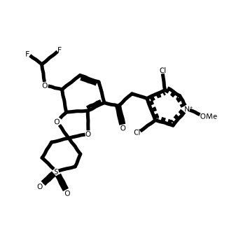 CO[n+]1cc(Cl)c(CC(=O)C2=C3OC4(CCS(=O)(=O)CC4)OC3C(OC(F)F)C=C2)c(Cl)c1